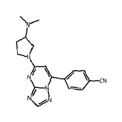 CN(C)C1CCN(c2cc(-c3ccc(C#N)cc3)n3ncnc3n2)C1